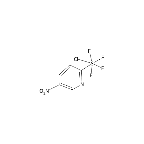 O=[N+]([O-])c1ccc(S(F)(F)(F)(F)Cl)nc1